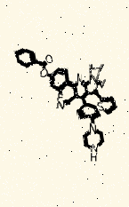 N#Cc1c(-c2ccc(OC(=O)c3ccccc3)cc2F)nc2[nH]nc(-c3cccs3)c2c1-c1ccc(N2CCNCC2)cc1